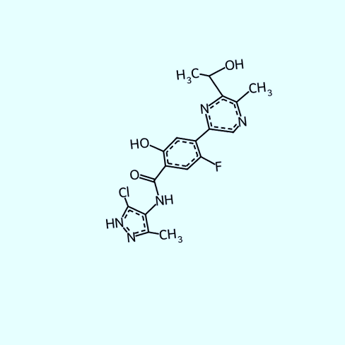 Cc1ncc(-c2cc(O)c(C(=O)Nc3c(C)n[nH]c3Cl)cc2F)nc1C(C)O